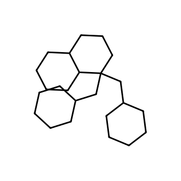 C1CCC(CC2(CC3CCCCC3)CCCC3CCCCC32)CC1